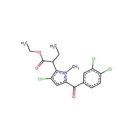 CCOC(=O)C(CC)c1c(Cl)cc(C(=O)c2ccc(Cl)c(Cl)c2)n1C